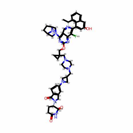 CCc1cccc2cc(O)cc(-c3ncc4c(N5CC6CCC(C5)N6)nc(OCC5(CN6CCN(CC7CN(c8ccc9c(c8)CN([C@H]8CCC(=O)NC8=O)C9=O)C7)CC6)CC5)nc4c3F)c12